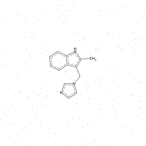 Cc1[nH]c2ccccc2c1Cn1ccnc1